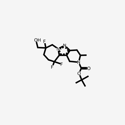 CC1Cc2nn3c(c2CN1C(=O)OC(C)(C)C)C(F)(F)CCC(F)(CO)C3